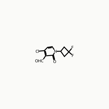 O=Cc1c(Cl)ccn(C2CC(F)(F)C2)c1=O